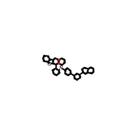 c1ccc(N(c2ccc(-c3cccc(-c4ccc5ccccc5c4)c3)cc2)c2ccccc2-c2cccc3c2oc2ccccc23)cc1